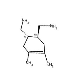 CC1=C(C)C[C@H](CN)[C@@H](CN)C1